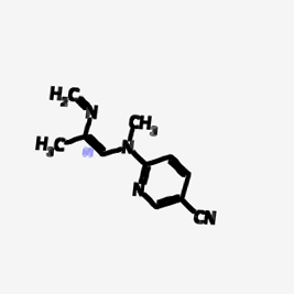 C=N/C(C)=C\N(C)c1ccc(C#N)cn1